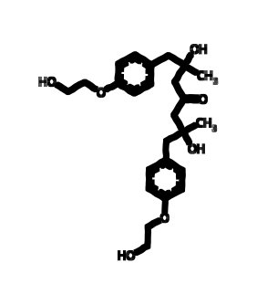 CC(O)(CC(=O)CC(C)(O)Cc1ccc(OCCO)cc1)Cc1ccc(OCCO)cc1